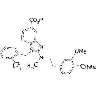 COc1ccc(CCN(C)c2nc3cc(C(=O)O)ccc3n2Cc2ccccc2C(F)(F)F)cc1OC